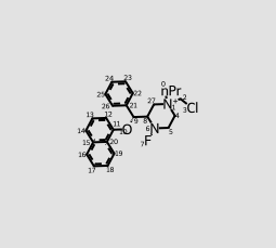 CCC[N+]1(CCl)CCN(F)C([C@H](Oc2cccc3ccccc23)c2ccccc2)C1